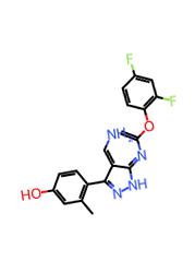 C=C(/N=C1/NN=C(c2ccc(O)cc2C)/C1=C/N)Oc1ccc(F)cc1F